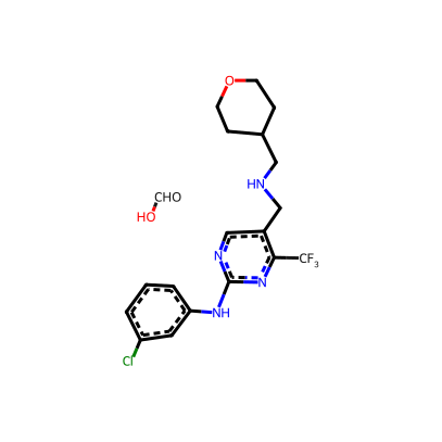 FC(F)(F)c1nc(Nc2cccc(Cl)c2)ncc1CNCC1CCOCC1.O=CO